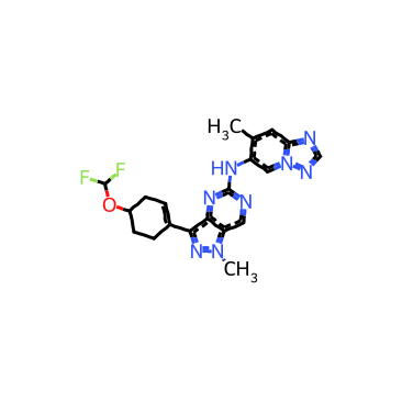 Cc1cc2ncnn2cc1Nc1ncc2c(n1)c(C1=CCC(OC(F)F)CC1)nn2C